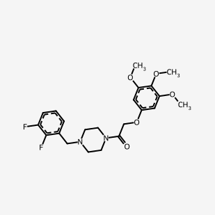 COc1cc(OCC(=O)N2CCN(Cc3cccc(F)c3F)CC2)cc(OC)c1OC